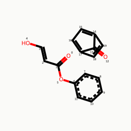 O=C(C=CO)Oc1ccccc1.O=C1C2=CC=C1C=C2